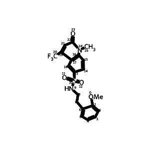 COc1ccccc1CCNS(=O)(=O)c1ccc2c(c1)c(C(F)(F)F)cc(=O)n2C